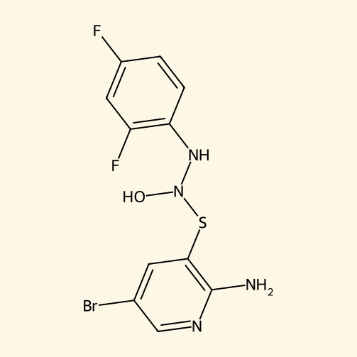 Nc1ncc(Br)cc1SN(O)Nc1ccc(F)cc1F